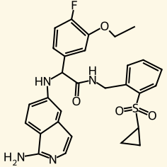 CCOc1cc(C(Nc2ccc3c(N)nccc3c2)C(=O)NCc2ccccc2S(=O)(=O)C2CC2)ccc1F